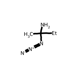 CCC(C)(N)N=[N+]=[N-]